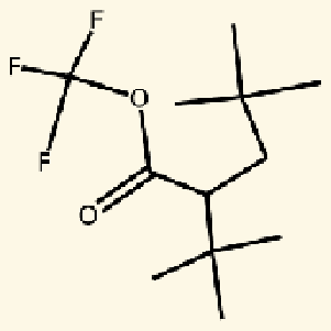 CC(C)(C)CC(C(=O)OC(F)(F)F)C(C)(C)C